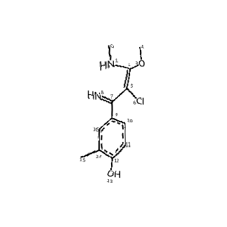 CN/C(OC)=C(/Cl)C(=N)c1ccc(O)c(C)c1